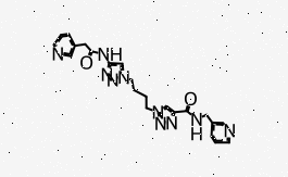 O=C(Cc1cccnc1)Nc1cn(CCCCn2cc(C(=O)NCc3cccnc3)nn2)nn1